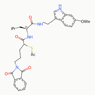 COc1ccc2c(CCNC(=O)[C@H](CC(C)C)NC(=O)C(CCCN3C(=O)c4ccccc4C3=O)SC(C)=O)c[nH]c2c1